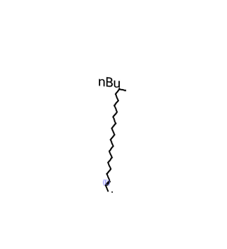 [CH2]/C=C/CCCCCCCCCCCCCCCC(C)CCC[CH2]